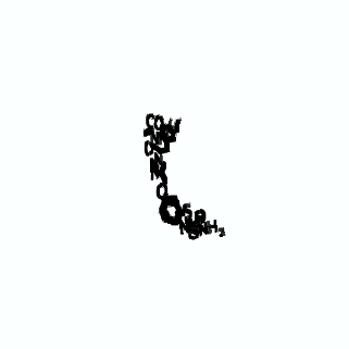 CC(NC(=O)C(Cc1ccccc1)n1cc(COc2ccc3nc(S(N)(=O)=O)sc3c2)nn1)C(=O)O